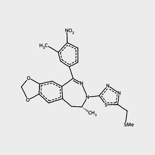 CSCc1nnc(N2N=C(c3ccc([N+](=O)[O-])c(C)c3)c3cc4c(cc3C[C@H]2C)OCO4)s1